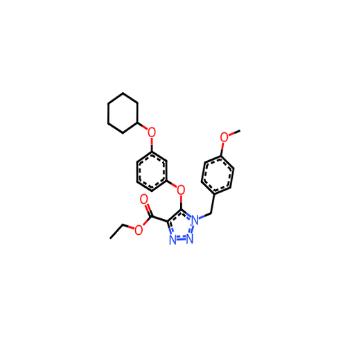 CCOC(=O)c1nnn(Cc2ccc(OC)cc2)c1Oc1cccc(OC2CCCCC2)c1